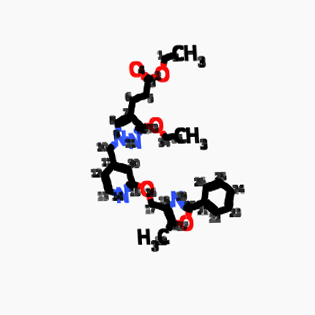 CCOC(=O)CCc1cn(Cc2ccnc(OCc3nc(-c4ccccc4)oc3C)c2)nc1OCC